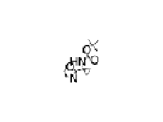 CC(C)(C)OC(=O)NC1(c2ncco2)CC1